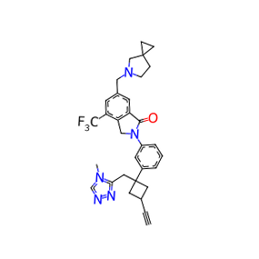 C#CC1CC(Cc2nncn2C)(c2cccc(N3Cc4c(cc(CN5CCC6(CC6)C5)cc4C(F)(F)F)C3=O)c2)C1